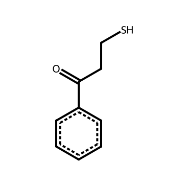 O=C(CCS)c1ccccc1